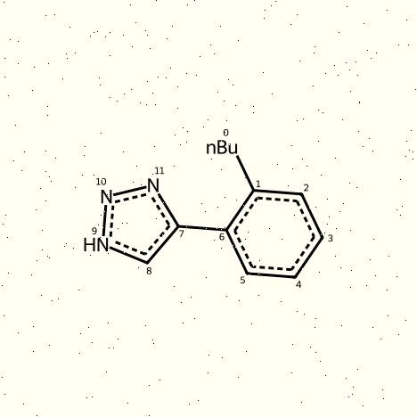 CCCCc1ccccc1-c1c[nH]nn1